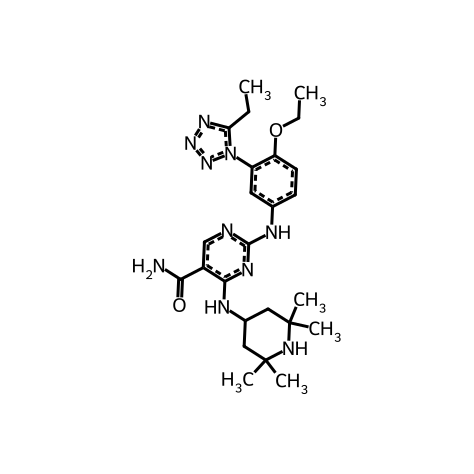 CCOc1ccc(Nc2ncc(C(N)=O)c(NC3CC(C)(C)NC(C)(C)C3)n2)cc1-n1nnnc1CC